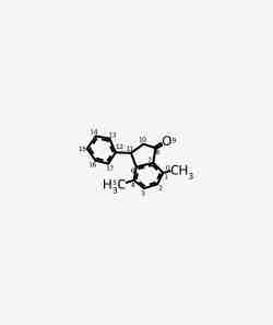 Cc1ccc(C)c2c1C(=O)CC2c1ccccc1